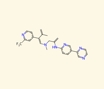 C=C(CN(C)/C=C(\C(=C)C)c1ccnc(C(F)(F)F)c1)Nc1ccc(-c2cnccn2)cn1